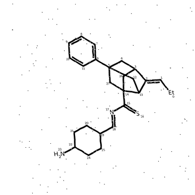 CC/C=C1/C2CC3(c4ccccc4)CC1C(C(=S)/N=C/C1CCC(N)CC1)(C2)C3